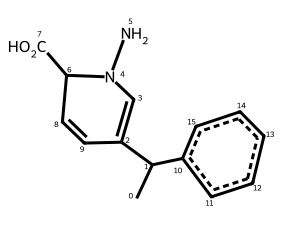 CC(C1=CN(N)C(C(=O)O)C=C1)c1ccccc1